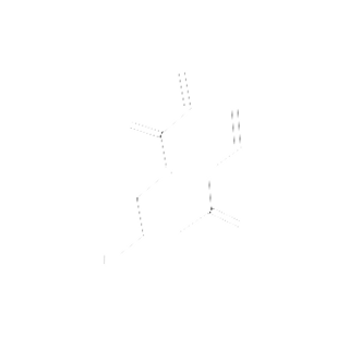 C=CC(=O)OCCO.C=COC(C)=O